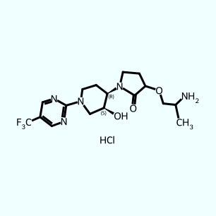 CC(N)COC1CCN([C@@H]2CCN(c3ncc(C(F)(F)F)cn3)C[C@@H]2O)C1=O.Cl